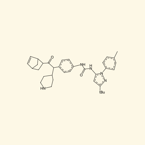 Cc1ccc(-n2nc(C(C)(C)C)cc2NC(=O)Nc2ccc(C(C(=O)C3CC4C=CC3C4)C3CCNCC3)cc2)cc1